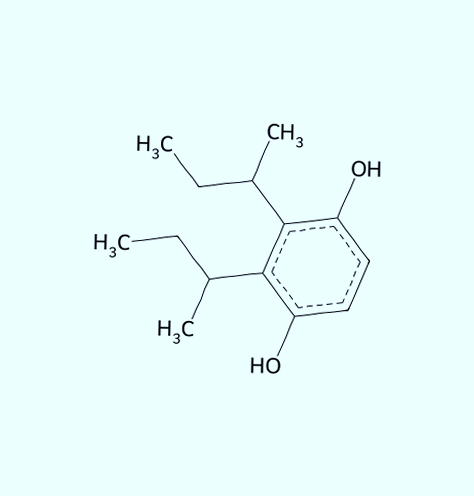 CCC(C)c1c(O)ccc(O)c1C(C)CC